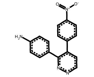 Nc1ccc(-c2nnccc2-c2ccc([N+](=O)[O-])cc2)cc1